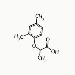 Cc1ccc(OC(C)C(=O)O)c(C)c1